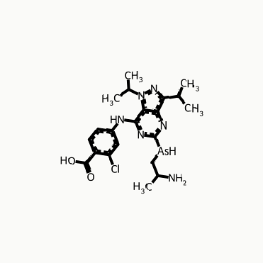 CC(N)C[AsH]c1nc(Nc2ccc(C(=O)O)c(Cl)c2)c2c(n1)c(C(C)C)nn2C(C)C